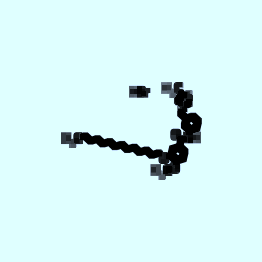 Br.CCCCCCCCCCCCCCOc1cc(C(=O)Nc2cccc(CN3C=C(C)SC3)c2)ccc1OC